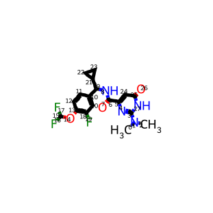 CN(C)c1nc(C(=O)NC(c2ccc(OC(F)F)c(F)c2)C2CC2)cc(=O)[nH]1